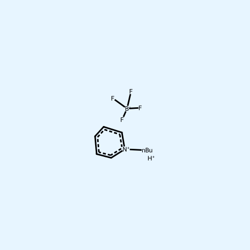 CCCC[n+]1ccccc1.F[B-](F)(F)F.[H+]